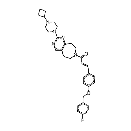 O=C(C=Cc1ccc(OCc2ccc(F)cc2)cc1)N1CCc2cnc(N3CCN(C4CCC4)CC3)nc2CC1